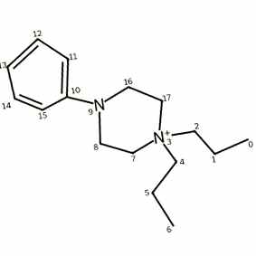 CCC[N+]1(CCC)CCN(c2ccccc2)CC1